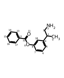 CC(CN)c1cccc(OC(=O)c2ccccc2)c1